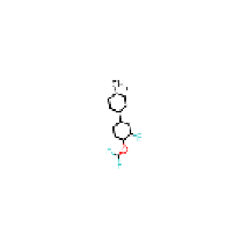 CC1CCC(C2CCC(OC(F)F)C(F)C2)CC1